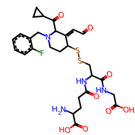 NC(CCC(=O)NC(CSSC1CCN(Cc2ccccc2F)C(C(=O)C2CC2)/C1=C/C=O)C(=O)NCC(=O)O)C(=O)O